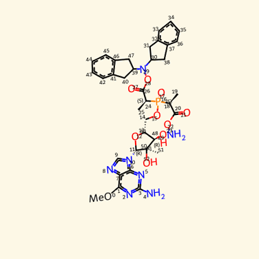 COc1nc(N)nc2c1ncn2[C@@H]1O[C@H](COP(=O)([C@@H](C)C(=O)ON)[C@@H](C)C(=O)ON(C2Cc3ccccc3C2)C2Cc3ccccc3C2)[C@@H](O)[C@@]1(C)O